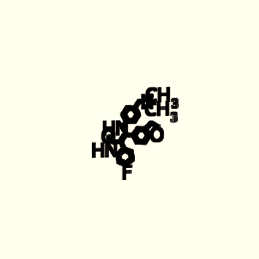 CN(C)Cc1ccc(N/C(=C2\C(=O)Nc3cc(F)ccc32)c2ccc3c(c2)CCO3)cc1